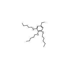 [CH2]Cc1cc(SCCCCC)c(SCCCCC)c(SCCCCC)c1